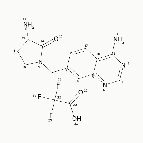 Nc1ncnc2cc(CN3CC[C@H](N)C3=O)ccc12.O=C(O)C(F)(F)F